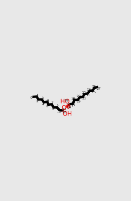 CCCCCCCCCCCC(O)OOC(O)CCCCCCCCCCC